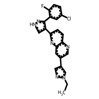 CCn1cc(-c2cnc3ccc(-c4c[nH]nc4-c4cc(Cl)ccc4F)nc3c2)cn1